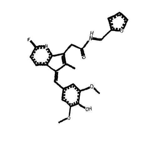 COc1cc(C=C2C(C)=C(CC(=O)NCc3ccco3)c3nc(F)ccc32)cc(OC)c1O